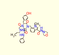 C=CCN1CC(=O)N2[C@@H](Cc3ccc(O)cc3)C(=O)N(Cc3cccc4c(C(=O)NN5CCOCC5)cn(C)c34)C[C@@H]2N1C(=O)NCc1ccccc1